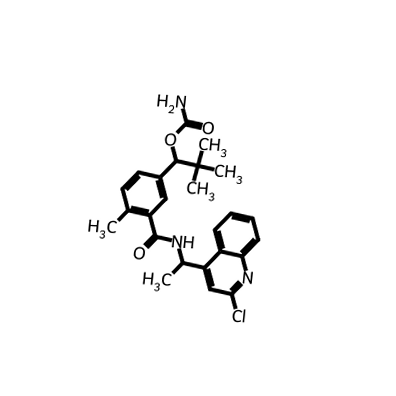 Cc1ccc(C(OC(N)=O)C(C)(C)C)cc1C(=O)NC(C)c1cc(Cl)nc2ccccc12